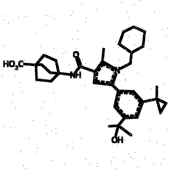 Cc1c(C(=O)NC23CCC(C(=O)O)(CC2)CC3)cc(-c2cc(C(C)(C)O)cc(C3(C)CC3)c2)n1CC1CCCCC1